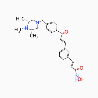 C[C@@H]1CN(Cc2ccc(C(=O)C=Cc3cccc(C=CC(=O)NO)c3)cc2)C[C@H](C)N1C